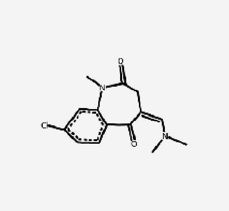 CN(C)C=C1CC(=O)N(C)c2cc(Cl)ccc2C1=O